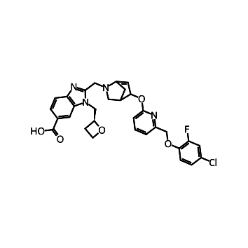 O=C(O)c1ccc2nc(CN3CC4CC3=CC4Oc3cccc(COc4ccc(Cl)cc4F)n3)n(C[C@@H]3CCO3)c2c1